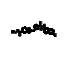 CC(C)(C)OC(=O)N1CCc2sc(CN3CC[C@H](NS(=O)(=O)c4ccc5cc(Cl)ccc5c4)C3)cc2C1